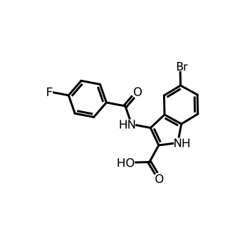 O=C(Nc1c(C(=O)O)[nH]c2ccc(Br)cc12)c1ccc(F)cc1